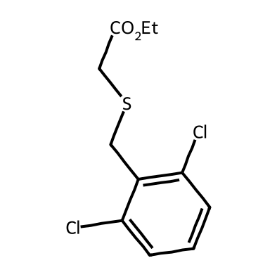 CCOC(=O)CSCc1c(Cl)cccc1Cl